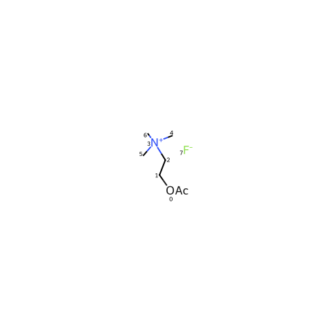 CC(=O)OCC[N+](C)(C)C.[F-]